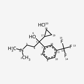 CN(C)CCC(O)(c1cccc(C(F)(F)F)c1)C1CC1.Cl